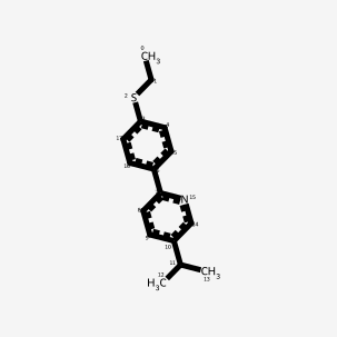 CCSc1ccc(-c2ccc(C(C)C)cn2)cc1